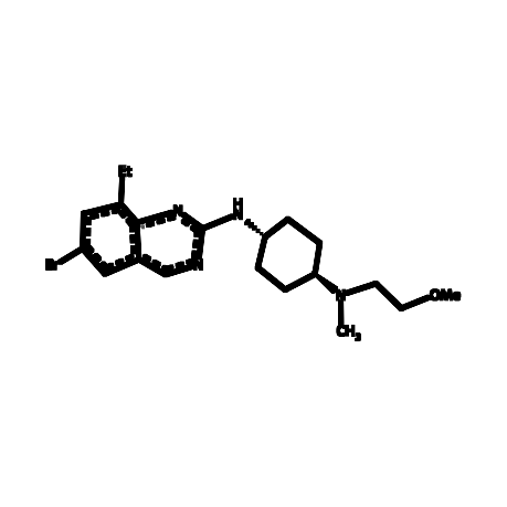 CCc1cc(Br)cc2cnc(N[C@H]3CC[C@H](N(C)CCOC)CC3)nc12